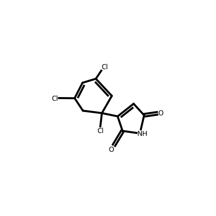 O=C1C=C(C2(Cl)C=C(Cl)C=C(Cl)C2)C(=O)N1